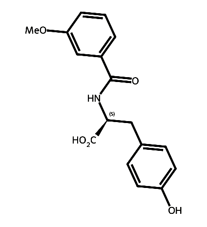 COc1cccc(C(=O)N[C@@H](Cc2ccc(O)cc2)C(=O)O)c1